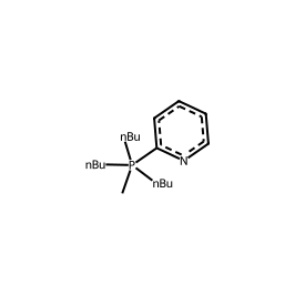 CCCCP(C)(CCCC)(CCCC)c1ccccn1